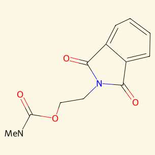 CNC(=O)OCCN1C(=O)c2ccccc2C1=O